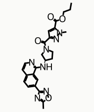 CCCOC(=O)c1cc(C(=O)N2CC[C@H](Nc3nccc4ccc(-c5noc(C)n5)cc34)C2)nn1C